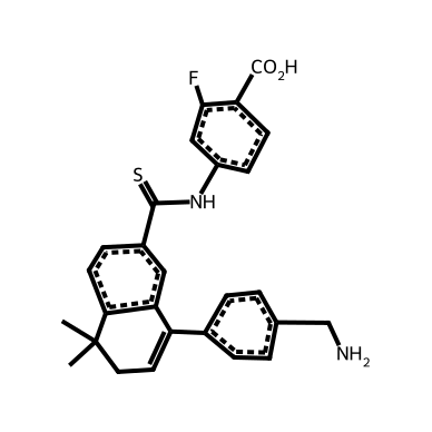 CC1(C)CC=C(c2ccc(CN)cc2)c2cc(C(=S)Nc3ccc(C(=O)O)c(F)c3)ccc21